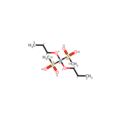 CCCO[Si](OCCC)(S(C)(=O)=O)S(C)(=O)=O